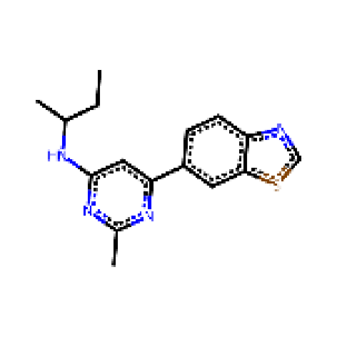 CCC(C)Nc1cc(-c2ccc3ncsc3c2)nc(C)n1